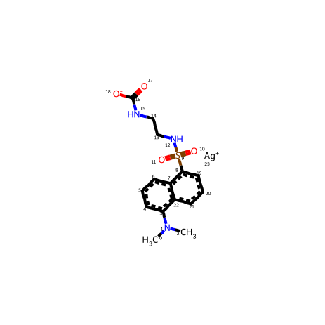 CN(C)c1cccc2c(S(=O)(=O)NCCNC(=O)[O-])cccc12.[Ag+]